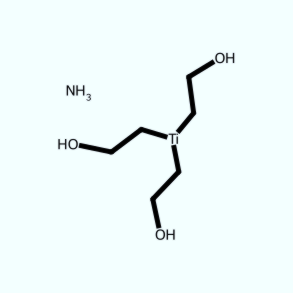 N.OC[CH2][Ti]([CH2]CO)[CH2]CO